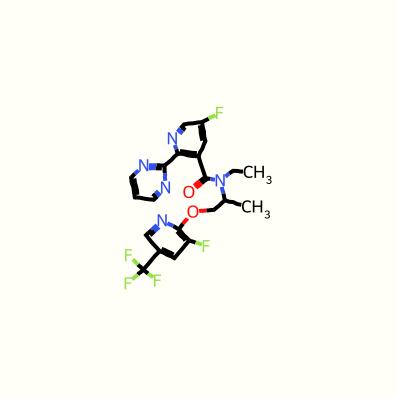 CCN(C(=O)c1cc(F)cnc1-c1ncccn1)C(C)COc1ncc(C(F)(F)F)cc1F